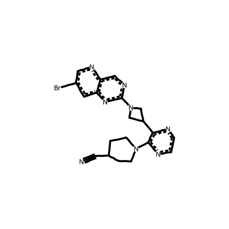 N#CC1CCN(c2nccnc2C2CN(c3ncc4ncc(Br)cc4n3)C2)CC1